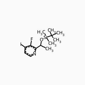 CC(O[Si](C)(C)C(C)(C)C)c1nccc(I)c1F